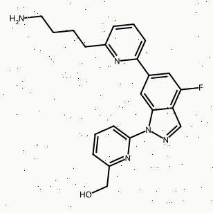 NCCCCc1cccc(-c2cc(F)c3cnn(-c4cccc(CO)n4)c3c2)n1